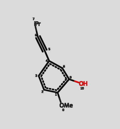 COc1ccc(C#CC(C)C)cc1O